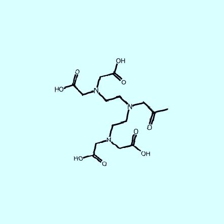 CC(=O)CN(CCN(CC(=O)O)CC(=O)O)CCN(CC(=O)O)CC(=O)O